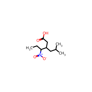 CCC(C(CC(=O)O)CC(C)C)[N+](=O)[O-]